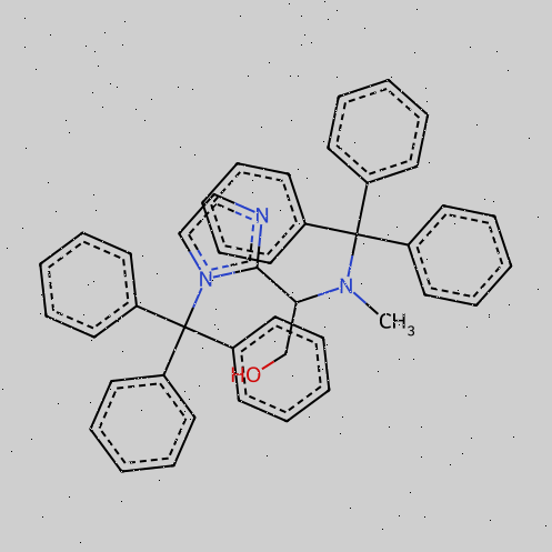 CN(C(CO)c1nccn1C(c1ccccc1)(c1ccccc1)c1ccccc1)C(c1ccccc1)(c1ccccc1)c1ccccc1